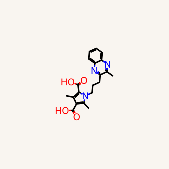 Cc1nc2ccccc2nc1CCCn1c(C)c(C(=O)O)c(C)c1C(=O)O